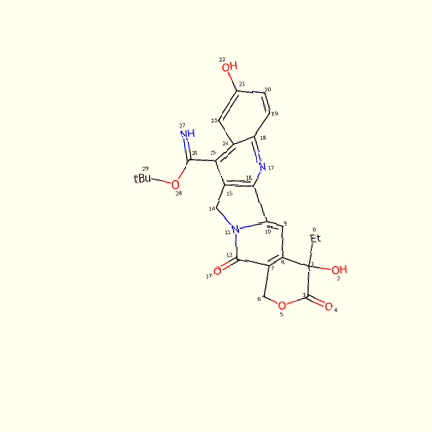 CCC1(O)C(=O)OCc2c1cc1n(c2=O)Cc2c-1nc1ccc(O)cc1c2C(=N)OC(C)(C)C